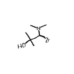 CN(C)[CH]([Zr])C(C)(C)O